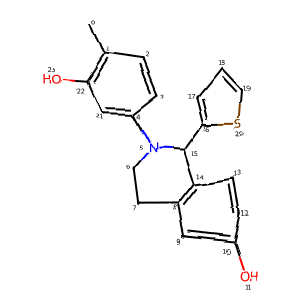 Cc1ccc(N2CCc3cc(O)ccc3C2c2cccs2)cc1O